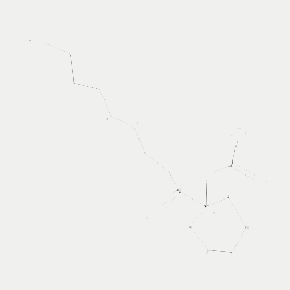 CCCCCCCCCCCCCCCCCC(=O)C1(OC(=O)CC)CCCCC1